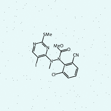 COC(=O)N(c1c(Cl)cccc1C#N)N(C)c1nc(SC)ncc1I